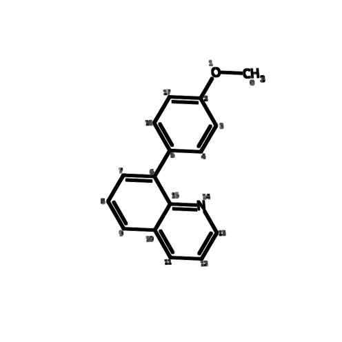 COc1ccc(-c2cccc3cccnc23)cc1